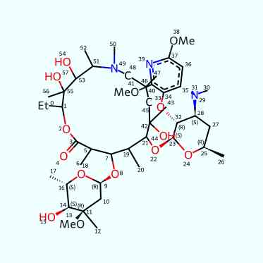 CCC1OC(=O)C(C)C(O[C@H]2C[C@@](C)(OC)[C@@H](O)[C@H](C)O2)C(C)C(O[C@@H]2O[C@H](C)C[C@H](N(C)C)[C@H]2Oc2ccc(OC)nc2OC)C(C)(O)CC(C)CN(C)C(C)C(O)C1(C)O